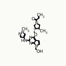 C=CC(=O)N1C[C@@H](COc2nc(Nc3cnn(C)c3)nc3c2ccn3CO)[C@H](C)C1